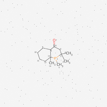 CP1C(C)(C)CC(=O)C2CCCCC21C